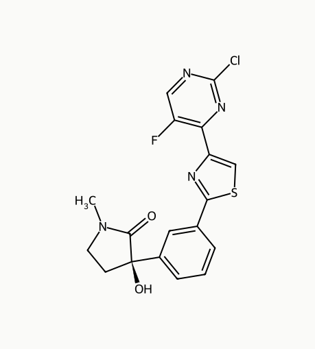 CN1CC[C@@](O)(c2cccc(-c3nc(-c4nc(Cl)ncc4F)cs3)c2)C1=O